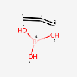 C=C=C.OB(O)O